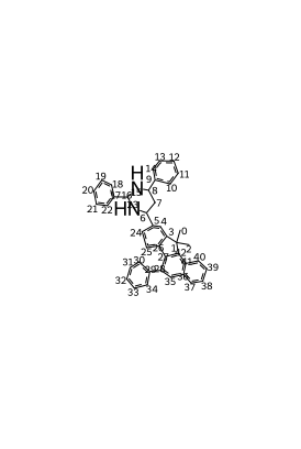 CC1(C)c2cc(C3CC(c4ccccc4)NC(c4ccccc4)N3)ccc2-c2c(-c3ccccc3)cc3ccccc3c21